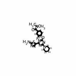 CN(C)C(=O)c1ccc(Oc2nc(-c3cnc(N)s3)nc(N3CCCCC3)n2)c(F)c1